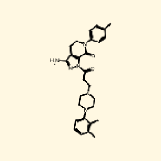 Cc1ccc(N2CCc3c(N)nn(C(=O)CCN4CCN(c5cccc(C)c5C)CC4)c3C2=O)cc1